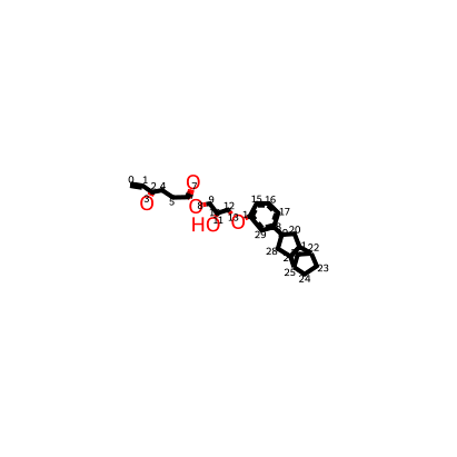 C=CC(=O)CCC(=O)OCC(O)COc1cccc(C2CC3C4CCC(C4)C3C2)c1